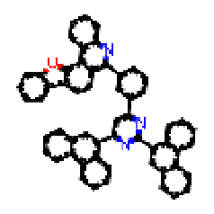 c1cc(-c2cc(-c3cc4ccccc4c4ccccc34)nc(-c3cc4ccccc4c4ccccc34)n2)cc(-c2nc3ccccc3c3c2ccc2c4ccccc4oc23)c1